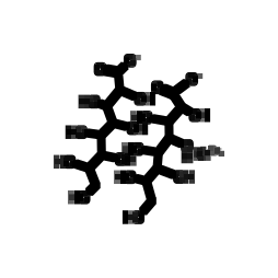 O=C([O-])C(O)C(O)C(O)C(O)C(O)C(O)CO.O=C([O-])C(O)C(O)C(O)C(O)C(O)C(O)CO.[Rh+2]